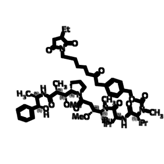 CCC1CC(=O)N(CCCCCC(=O)Cc2ccc(COC(=O)N(C)[C@H](C(=O)N[C@H](C(=O)N(C)[C@@H]([C@@H](C)CC)[C@@H](CC(=O)N3CCC[C@H]3[C@H](OC)[C@@H](C)C(=O)N[C@H](C)[C@@H](O)c3ccccc3)OC)C(C)C)C(C)C)cc2)C1=O